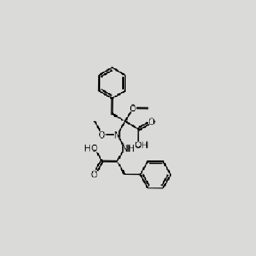 CON(N[C@@H](Cc1ccccc1)C(=O)O)[C@](Cc1ccccc1)(OC)C(=O)O